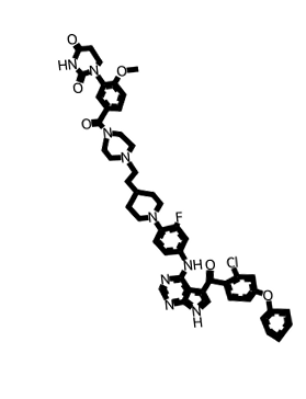 COc1ccc(C(=O)N2CCN(CCC3CCN(c4ccc(Nc5ncnc6[nH]cc(C(=O)c7ccc(Oc8ccccc8)cc7Cl)c56)cc4F)CC3)CC2)cc1N1CCC(=O)NC1=O